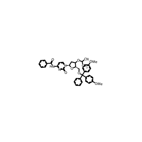 [CH2]C(C#N)OC1C[C@H](n2ccc(NC(=O)c3ccccc3)nc2=O)O[C@@H]1COC(c1ccccc1)(c1ccc(OC)cc1)c1ccc(OC)cc1